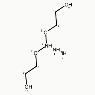 I.N.OCCONOCCO